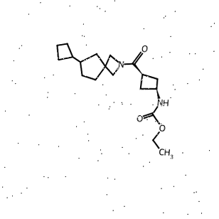 CCOC(=O)N[C@H]1C[C@@H](C(=O)N2CC3(CCC(C4CCC4)C3)C2)C1